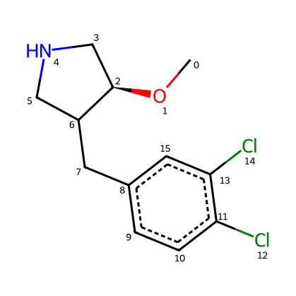 CO[C@@H]1CNCC1Cc1ccc(Cl)c(Cl)c1